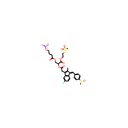 CC1=C(CC(=O)OC(COC(=O)CCCO[N+](=O)[O-])C(=O)OCCSS(C)(=O)=O)c2cc(F)ccc2/C1=C\c1ccc([S+](C)[O-])cc1